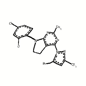 Cc1nc2c(c(-n3nc(C(F)(F)F)cc3C(C)C)n1)CCN2c1ccc(Cl)cc1Cl